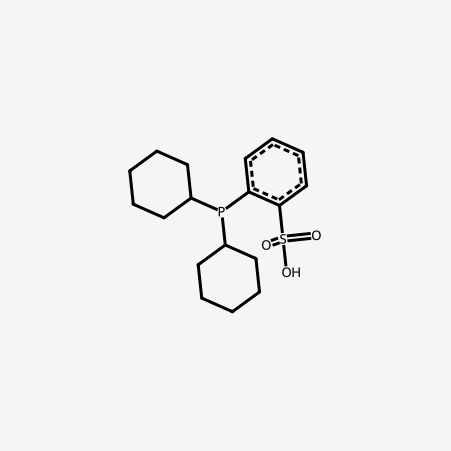 O=S(=O)(O)c1ccccc1P(C1CCCCC1)C1CCCCC1